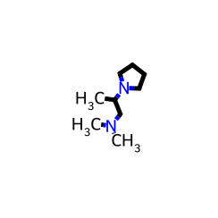 CC(CN(C)C)N1CCCC1